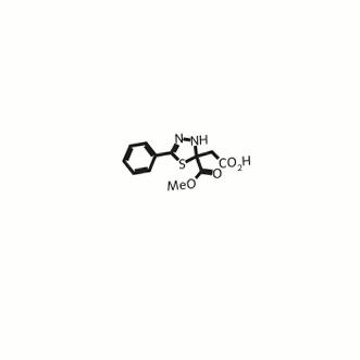 COC(=O)C1(CC(=O)O)NN=C(c2ccccc2)S1